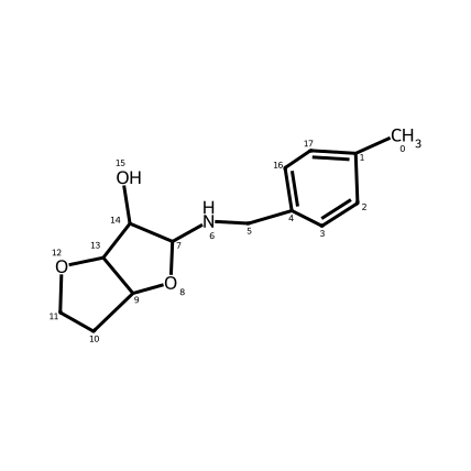 Cc1ccc(CNC2OC3CCOC3C2O)cc1